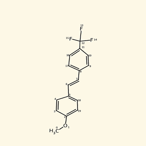 COc1ccc(C=Cc2ccc(C(F)(F)F)cc2)cc1